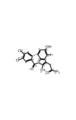 Cc1c(CC(N)=O)c2c(F)c(O)ccc2n1C(=O)c1ccc(Cl)c(Cl)c1